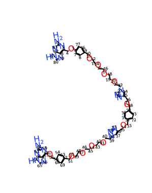 Nc1nc(COc2ccc(COCCOCCOCCOCCn3cc(COCc4ccc(COCc5cn(CCOCCOCCOCCOCc6ccc(COc7nc(N)nc8[nH]cnc78)cc6)nn5)cc4)nn3)cc2)c2nc[nH]c2n1